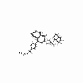 CCOC(=O)c1ccc(-c2cc(CN[C@H](C)c3cccc4ccccc34)cc3ccccc23)cc1